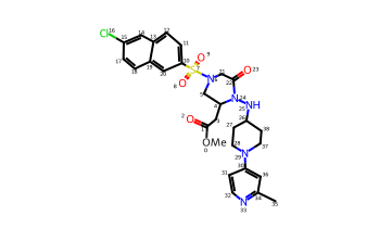 COC(=O)CC1CN(S(=O)(=O)c2ccc3cc(Cl)ccc3c2)CC(=O)N1NC1CCN(c2ccnc(C)c2)CC1